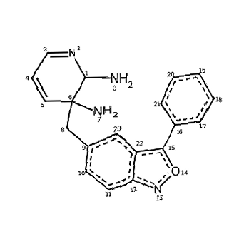 NC1N=CC=CC1(N)Cc1ccc2noc(-c3ccccc3)c2c1